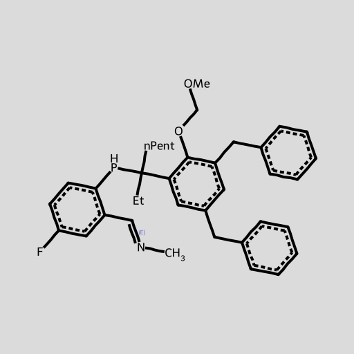 CCCCCC(CC)(Pc1ccc(F)cc1/C=N/C)c1cc(Cc2ccccc2)cc(Cc2ccccc2)c1OCOC